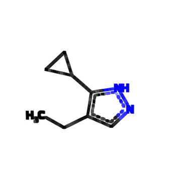 CCc1cn[nH]c1C1CC1